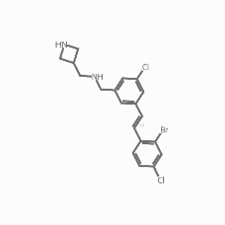 Clc1cc(/C=C/c2ccc(Cl)cc2Br)cc(CNCC2CNC2)c1